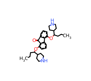 CCCC(Oc1cccc2c1C(=O)c1cccc(OC(CCC)C3CCNCC3)c1-2)C1CCNCC1